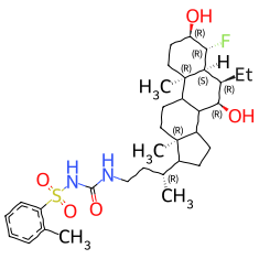 CC[C@@H]1[C@@H]2[C@@H](F)[C@H](O)CC[C@]2(C)C2CC[C@@]3(C)C(CCC3[C@H](C)CCNC(=O)NS(=O)(=O)c3ccccc3C)C2[C@@H]1O